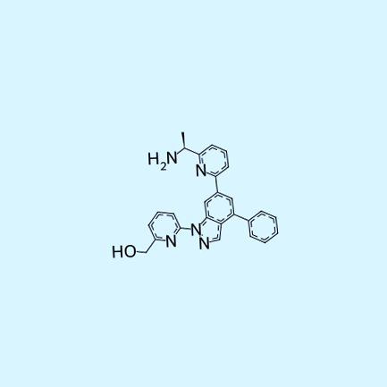 C[C@H](N)c1cccc(-c2cc(-c3ccccc3)c3cnn(-c4cccc(CO)n4)c3c2)n1